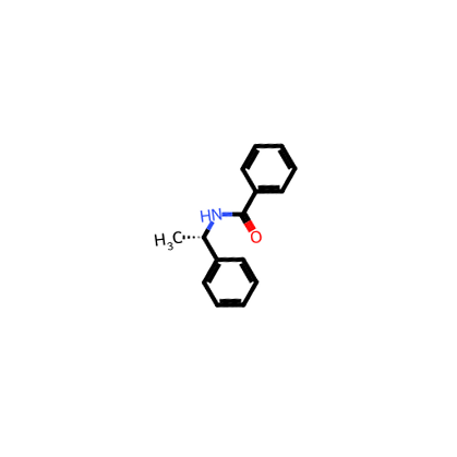 C[C@H](NC(=O)c1ccccc1)c1ccccc1